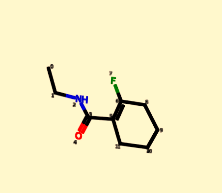 CCNC(=O)C1=C(F)CCCC1